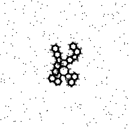 CC1CCC(c2cccc3ccccc23)C(C)/C(c2cccc3ccccc23)=N\C1c1cc2oc3ccc4ccccc4c3c2cc1-n1c2cc3ccccc3cc2c2cc3ccccc3cc21